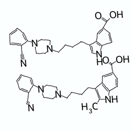 Cc1[nH]c2ccc(C(=O)O)cc2c1CCCCN1CCN(c2ccccc2C#N)CC1.N#Cc1ccccc1N1CCN(CCCCc2c[nH]c3ccc(C(=O)O)cc23)CC1